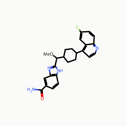 COC(c1nc2cc(C(N)=O)ccc2[nH]1)C1CCC(c2ccnc3ccc(F)cc23)CC1